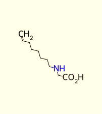 C=CCCCCCCNCC(=O)O